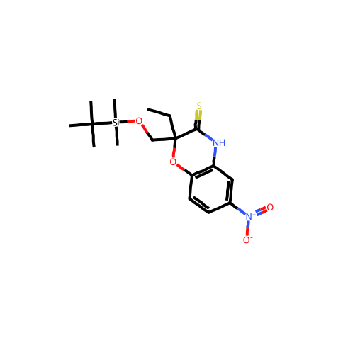 CCC1(CO[Si](C)(C)C(C)(C)C)Oc2ccc([N+](=O)[O-])cc2NC1=S